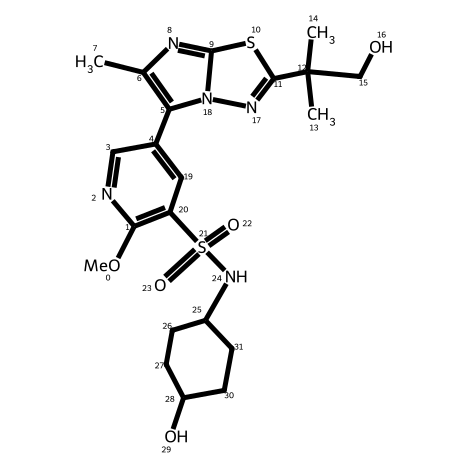 COc1ncc(-c2c(C)nc3sc(C(C)(C)CO)nn23)cc1S(=O)(=O)NC1CCC(O)CC1